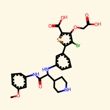 COc1cccc(NC(=O)C(Nc2cccc(-c3sc(C(=O)O)c(OCC(=O)O)c3Br)c2)C2CCNCC2)c1